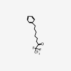 O=C(CCCCCCc1ccccc1)C(F)(F)C(F)(F)F